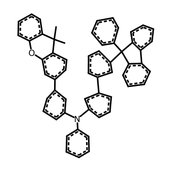 CC1(C)c2ccccc2Oc2cc(-c3cccc(N(c4ccccc4)c4cccc(-c5cccc(C6(c7ccccc7)c7ccccc7-c7ccccc76)c5)c4)c3)ccc21